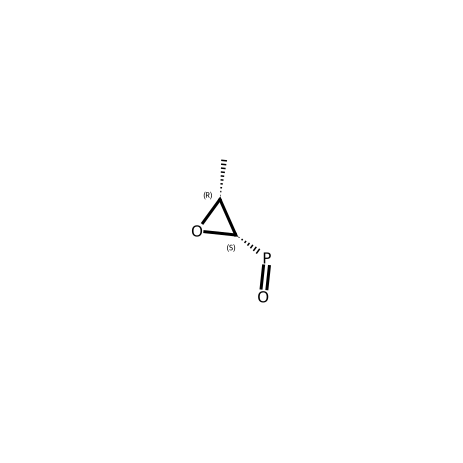 C[C@H]1O[C@H]1P=O